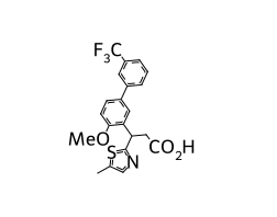 COc1ccc(-c2cccc(C(F)(F)F)c2)cc1C(CC(=O)O)c1ncc(C)s1